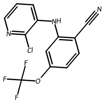 N#Cc1ccc(OC(F)(F)F)cc1Nc1cccnc1Cl